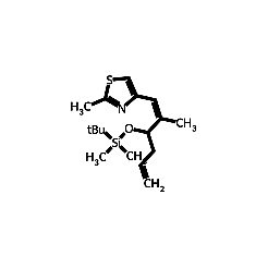 C=CCC(O[Si](C)(C)C(C)(C)C)C(C)=Cc1csc(C)n1